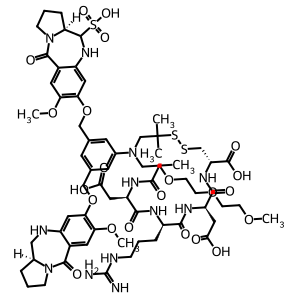 CCC(=O)N[C@H](CC(=O)O)C(=O)N[C@H](CCCNC(=N)N)C(=O)N[C@H](CC(=O)O)C(=O)N[C@H](CSSC(C)(C)CN(CCOCCOCCOC)c1cc(COc2cc3c(cc2OC)C(=O)N2CCC[C@H]2CN3)cc(COc2cc3c(cc2OC)C(=O)N2CCC[C@H]2C(S(=O)(=O)O)N3)c1)C(=O)O